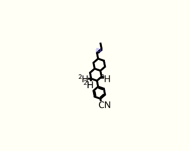 [2H]C1C2CCC(/C=C/C)CC2CC([2H])([2H])C1c1ccc(C#N)cc1